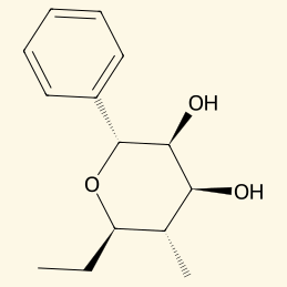 CC[C@H]1O[C@H](c2ccccc2)[C@@H](O)[C@@H](O)[C@@H]1C